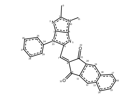 Cc1nc2c(nc(C=C3C(=O)c4cc5ccccc5cc4C3=O)n2-c2ccccc2)n1C